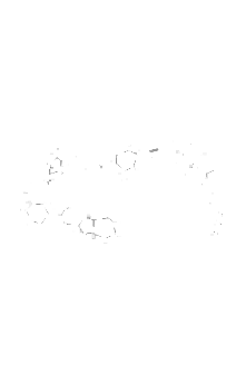 [N-]=[N+]=NCCCC(=O)N1CCN(CC#Cc2ccc(OCCCc3sc(N4CCc5cccc(C(=O)Nc6nc7ccccc7s6)c5C4)nc3C(=O)O)c(F)c2)CC1